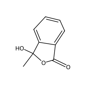 CC1(O)OC(=O)c2ccccc21